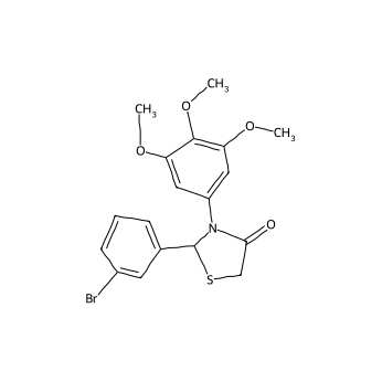 COc1cc(N2C(=O)CSC2c2cccc(Br)c2)cc(OC)c1OC